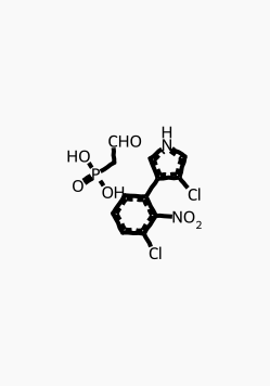 O=CCP(=O)(O)O.O=[N+]([O-])c1c(Cl)cccc1-c1c[nH]cc1Cl